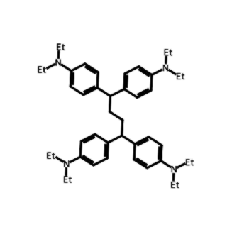 CCN(CC)c1ccc(C(CCC(c2ccc(N(CC)CC)cc2)c2ccc(N(CC)CC)cc2)c2ccc(N(CC)CC)cc2)cc1